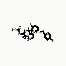 CC1(C)C(NC(=O)O)=N[C@](C)(c2nc(NCc3ccc(F)cn3)ccc2F)[C@H]2CCN[SH]21=O